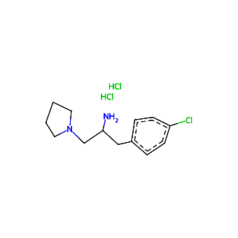 Cl.Cl.NC(Cc1ccc(Cl)cc1)CN1CCCC1